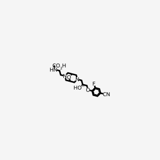 N#Cc1ccc(OC[C@@H](O)CN2CC3CN(CCNC(=O)O)CC(C2)O3)c(F)c1